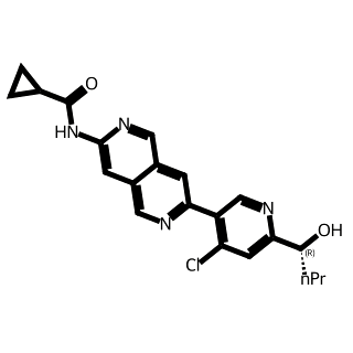 CCC[C@@H](O)c1cc(Cl)c(-c2cc3cnc(NC(=O)C4CC4)cc3cn2)cn1